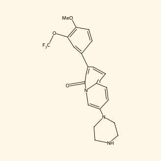 COc1ccc(C2=C\C(=O)N3C=C(N4CCNCC4)C=C\C3=C/C=C/2)cc1OC(F)(F)F